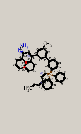 C=C/C=C\C=C/S(c1ccccc1)(c1ccccc1)c1cccc(C2=CC(C)=CC(/C(=C/C(=N\N)C3=CC=CCC3)C3=CC=CCC3)C2)c1